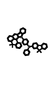 CC1(C)c2ccccc2-c2ccc(N(c3ccccc3)c3ccc(-n4c5ccccc5c5cc6cccc7c6c(c54)-c4ccccc4C7(C)C)cc3)cc21